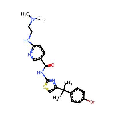 CN(C)CCNc1ccc(C(=O)Nc2nc(C(C)(C)c3ccc(Br)cc3)cs2)cn1